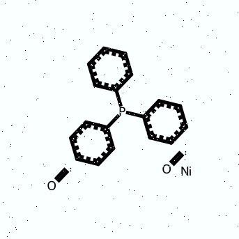 [C]=O.[C]=O.[Ni].c1ccc(P(c2ccccc2)c2ccccc2)cc1